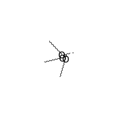 [CH2]CCc1cc(OCCCCCCCCCCCCC)c(OCCCCCCCCCCCCC)c(OCCCCCCCCCCCCC)c1